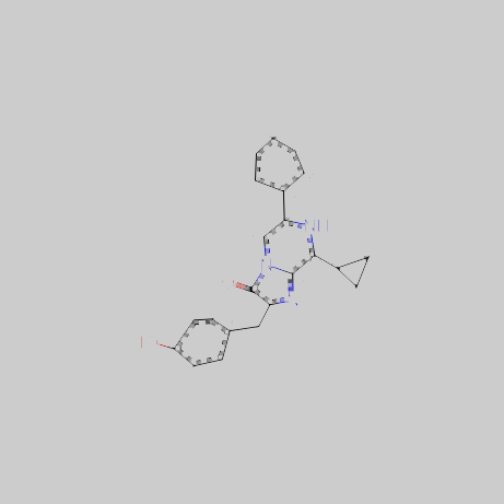 O=c1c(Cc2ccc(O)cc2)nc2c(C3CC3)[nH]c(-c3ccccc3)cn1-2